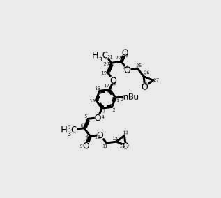 CCCCc1cc(OC=C(C)C(=O)OCC2CO2)ccc1OC=C(C)C(=O)OCC1CO1